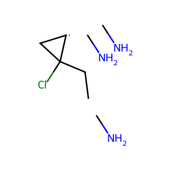 CCC1(Cl)[CH]C1.CN.CN.CN